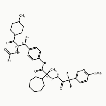 CCC(=O)N[C@@H](C(=O)N1CCN(C)CC1)[C@@H](CC)c1ccc(NC(=O)[C@](C)(SNC(=O)C(F)(F)c2ccc(OC)nc2)C2CCCCCC2)cc1